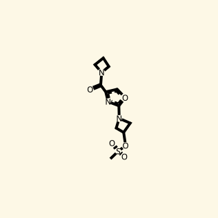 CS(=O)(=O)OC1CN(c2nc(C(=O)N3CCC3)co2)C1